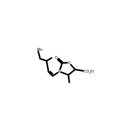 CCOC(=O)C1OC(=O)N(/C=C\C(C)CC(C)(C)C)C1C